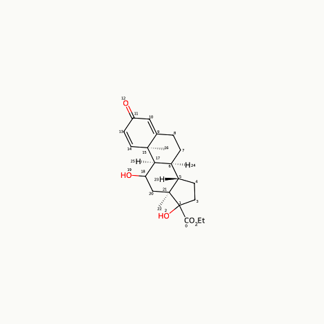 CCOC(=O)C1(O)CC[C@H]2[C@@H]3CCC4=CC(=O)C=C[C@]4(C)[C@@H]3C(O)C[C@@]21C